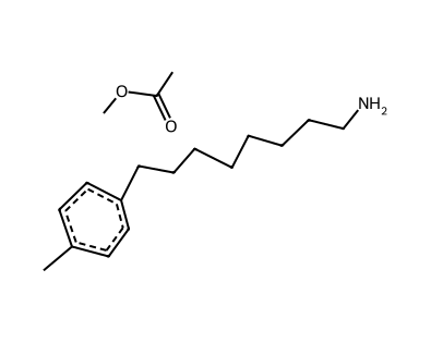 COC(C)=O.Cc1ccc(CCCCCCCCN)cc1